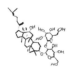 C=C(CCC=C(C)C)[C@H]1CC[C@]2(C)[C@@H]1[C@H](O)C[C@@]1(C)[C@@]2(C)CC[C@H]2C(C)(C)[C@@H](O[C@H]3O[C@H](CO)[C@@H](O)[C@H](O)[C@H]3O[C@@H]3O[C@H](CO)[C@@H](O)[C@H](O)[C@H]3O)CC[C@@]21C